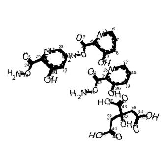 NOC(=O)c1ncccc1O.NOC(=O)c1ncccc1O.NOC(=O)c1ncccc1O.O=C(O)CC(O)(CC(=O)O)C(=O)O